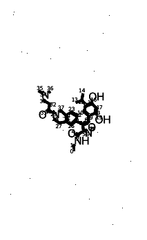 CCNC(=O)c1noc(-c2cc(C(C)C)c(O)cc2O)c1-c1ccc2c(c1)CCN(C(=O)CCN(C)C)C2